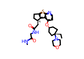 CC[C@]1(N2CCOCC2)CC[C@H](Oc2ccnc3sc4c(c23)[C@@H](CC(=O)NCC(=O)NC)CC4)CC1